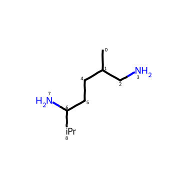 CC(CN)CCC(N)C(C)C